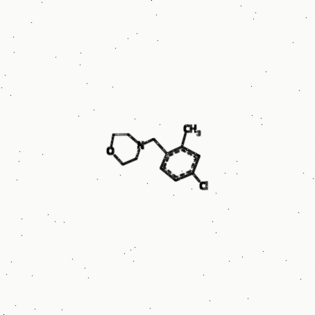 Cc1cc(Cl)ccc1CN1CCOCC1